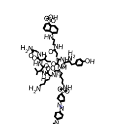 CCC(C)[C@H](NC(=O)[C@@H](NC(=O)[C@H](CCCCN)NC(=O)[C@H](CCCCNS(=O)(=O)c1ccc(/N=N/c2ccc(N(C)C)cc2)cc1)NC(=O)[C@H](CCC(=O)NCCNc1cccc2c(S(=O)(=O)O)cccc12)NC(=O)[C@@H](N)Cc1ccc(O)cc1)C(C)C)C(=O)NCC(N)=O